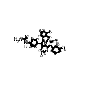 COc1cccc(-n2c(=O)c3c(CN(C)C)c(-c4ccc(NC(N)=O)cc4)cn3n(Cc3c(F)cccc3F)c2=O)c1F